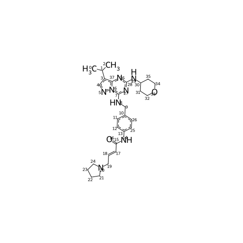 CC(C)c1cnn2c(NCc3ccc(NC(=O)/C=C/CN4CCCC4)cc3)nc(NC3CCOCC3)nc12